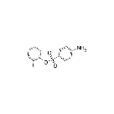 Cc1ccccc1OS(=O)(=O)c1ccc(N)cc1